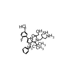 CC(C)(C)[C@H](c1nc(-c2cc(F)ccc2F)cn1Cc1ccccc1)N(CC(CN)CS)C(=O)CO.Cl